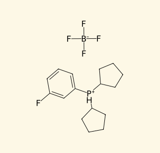 F[B-](F)(F)F.Fc1cccc([PH+](C2CCCC2)C2CCCC2)c1